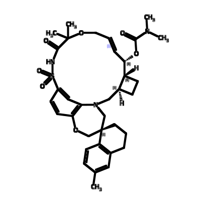 Cc1ccc2c(c1)CCC[C@]21COc2ccc3cc2N(C[C@@H]2CC[C@H]2[C@@H](OC(=O)N(C)C)/C=C/COC(C)(C)C(=O)NS3(=O)=O)C1